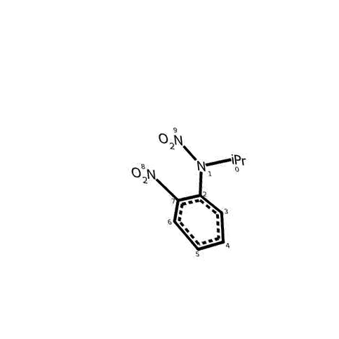 CC(C)N(c1ccccc1[N+](=O)[O-])[N+](=O)[O-]